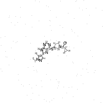 CCn1ncc(-c2nc3c(S[C@H]4CCN(C(=O)C5CC5)C4)ncnc3n2C)c1C